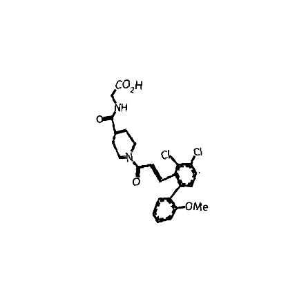 COc1ccccc1-c1c[c]c(Cl)c(Cl)c1/C=C/C(=O)N1CCC(C(=O)NCC(=O)O)CC1